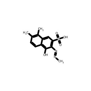 CN=Nc1c(S(=O)(=O)O)cc2c(C)c(C)ccc2c1O